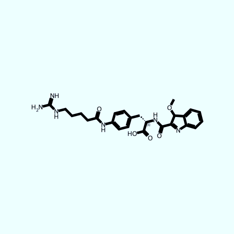 COC1C(C(=O)N[C@@H](Cc2ccc(NC(=O)CCCCNC(=N)N)cc2)C(=O)O)=Nc2ccccc21